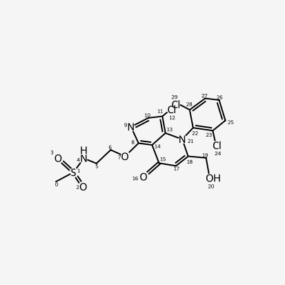 CS(=O)(=O)NCCOc1ncc(Cl)c2c1c(=O)cc(CO)n2-c1c(Cl)cccc1Cl